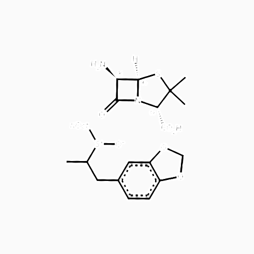 CC1(C)S[C@@H]2[C@H](N)C(=O)N2[C@H]1C(=O)O.CCCCCCCC[S+]([O-])C(C)Cc1ccc2c(c1)OCO2